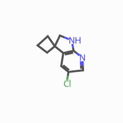 Clc1cnc2c(c1)C1(CCC1)CN2